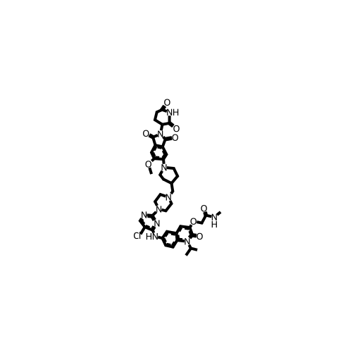 CNC(=O)COc1cc2cc(Nc3nc(N4CCN(CC5CCN(c6cc7c(cc6OC)C(=O)N(C6CCC(=O)NC6=O)C7=O)CC5)CC4)ncc3Cl)ccc2n(C(C)C)c1=O